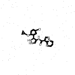 O=C(NC1=CNNC1c1cc(Cl)ccc1OC1CC1)c1cnn2cccnc12